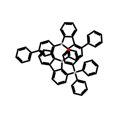 c1ccc(-c2ccc(-n3c4ccccc4c4c(-c5ccccc5)ccc(-n5c6ccccc6c6cccc([Si](c7ccccc7)(c7ccccc7)c7ccccc7)c65)c43)cc2)cc1